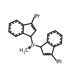 [CH2]=[Zr]([CH]1C=C(C(C)C)c2ccccc21)[CH]1C=C(C(C)C)c2ccccc21